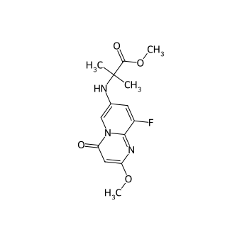 COC(=O)C(C)(C)Nc1cc(F)c2nc(OC)cc(=O)n2c1